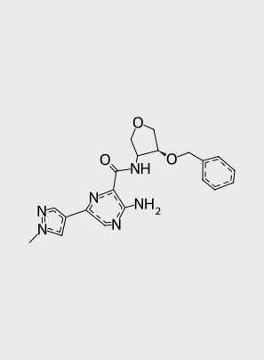 Cn1cc(-c2cnc(N)c(C(=O)NC3COC[C@H]3OCc3ccccc3)n2)cn1